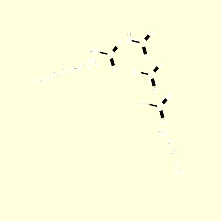 S.S.S.S.[Cd].[Cd].[Cd].[Eu].[O]=[V](=[O])[OH].[O]=[V](=[O])[OH].[O]=[V](=[O])[OH].[O]=[V](=[O])[OH].[Zn].[Zn].[Zn].[Zn]